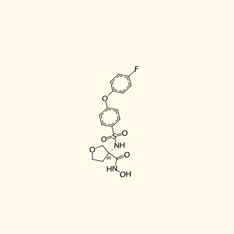 O=C(NO)[C@@]1(NS(=O)(=O)c2ccc(Oc3ccc(F)cc3)cc2)CCOC1